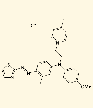 COc1ccc(N(CC[n+]2ccc(C)cc2)c2ccc(N=Nc3nccs3)c(C)c2)cc1.[Cl-]